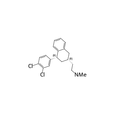 CNCC[C@H]1Cc2ccccc2[C@@H](c2ccc(Cl)c(Cl)c2)C1